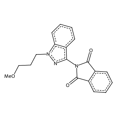 COCCCn1nc(N2C(=O)c3ccccc3C2=O)c2ccccc21